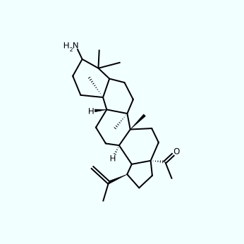 C=C(C)[C@@H]1CC[C@]2(C(C)=O)CC[C@]3(C)[C@H](CC[C@@H]4[C@@]5(C)CCC(N)C(C)(C)C5CC[C@]43C)C12